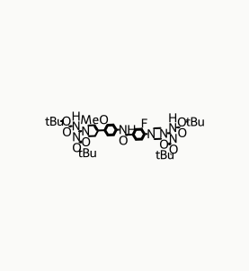 COc1cc(NC(=O)c2ccc(N3CCN(/C(=N\C(=O)OC(C)(C)C)NC(=O)OC(C)(C)C)CC3)c(F)c2)ccc1C1=CCN(/C(=N\C(=O)OC(C)(C)C)NC(=O)OC(C)(C)C)CC1